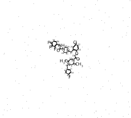 C[C@@H]1CN(Cc2ccc(F)cc2)[C@@H](C)CN1C(=O)COc1ccc(Cl)cc1CN1CCN(C(=O)Nc2ccc(F)c(F)c2F)CC1